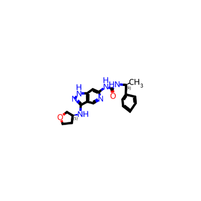 C[C@@H](NC(=O)Nc1cc2[nH]nc(N[C@H]3CCOC3)c2cn1)c1ccccc1